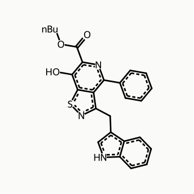 CCCCOC(=O)c1nc(-c2ccccc2)c2c(Cc3c[nH]c4ccccc34)nsc2c1O